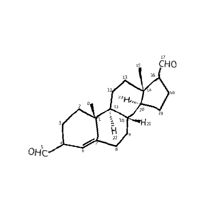 C[C@]12CCC(C=O)C=C1CC[C@@H]1[C@@H]2CC[C@]2(C)C(C=O)CC[C@@H]12